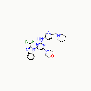 FC(F)c1nc2ccccc2n1-c1cc(N2CCOCC2)nc(Nc2ccc(CN3CCCCC3)nc2)n1